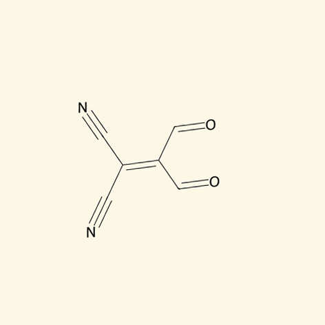 N#CC(C#N)=C(C=O)C=O